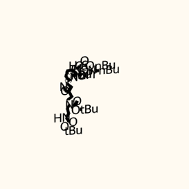 CCCCN(OS(=O)(=O)ON1C(=O)N2C[C@@H]1CC[C@H]2c1cc(CCN(CCNC(=O)OC(C)(C)C)C(=O)OC(C)(C)C)on1)C(CCC)(CCCC)CCCC